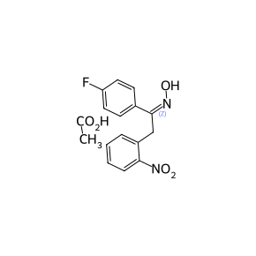 CC(=O)O.O=[N+]([O-])c1ccccc1C/C(=N/O)c1ccc(F)cc1